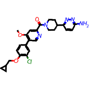 COc1cc(C(=O)N2CCC(c3ccc(N)nn3)CC2)ncc1-c1ccc(OCC2CC2)c(Cl)c1